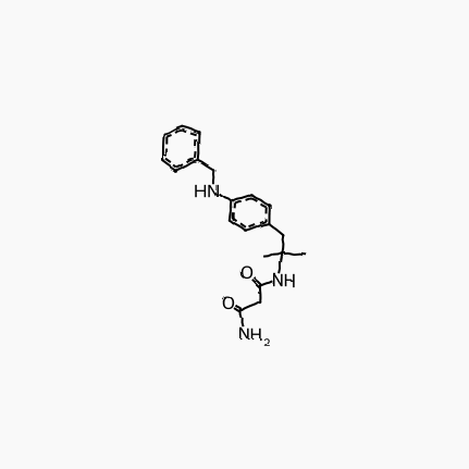 CC(C)(Cc1ccc(NCc2ccccc2)cc1)NC(=O)CC(N)=O